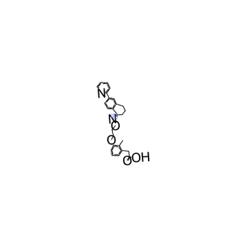 Cc1c(CC(=O)O)cccc1OCCO/N=C1\CCCc2cc(-c3ccccn3)ccc21